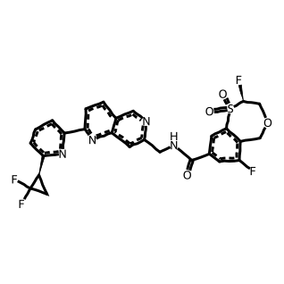 O=C(NCc1cc2nc(-c3cccc([C@H]4CC4(F)F)n3)ccc2cn1)c1cc(F)c2c(c1)S(=O)(=O)[C@@H](F)COC2